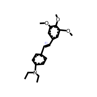 CCN(CC)c1ccc(/C=C/c2cc(OC)c(OC)c(OC)c2)cc1